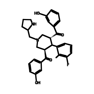 Cc1c(F)cccc1C1[C@@H](C(=O)c2cccc(O)c2)CN(CC2CCCN2)C[C@@H]1C(=O)c1cccc(O)c1